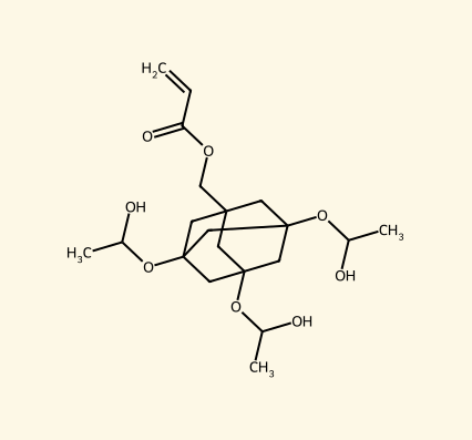 C=CC(=O)OCC12CC3(OC(C)O)CC(OC(C)O)(C1)CC(OC(C)O)(C2)C3